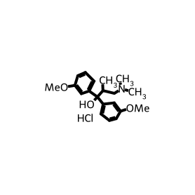 COc1cccc(C(O)(c2cccc(OC)c2)C(C)CN(C)C)c1.Cl